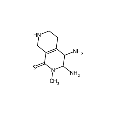 CN1C(=S)C2=C(CCNC2)C(N)C1N